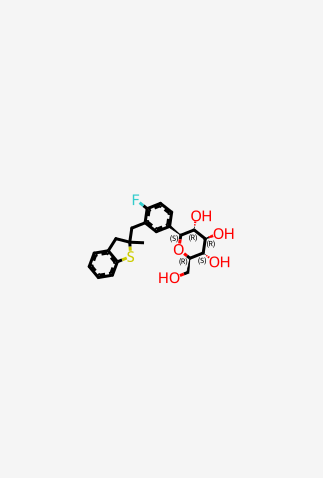 CC1(Cc2cc([C@@H]3O[C@H](CO)[C@@H](O)[C@H](O)[C@H]3O)ccc2F)Cc2ccccc2S1